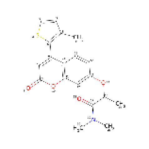 Cc1ccsc1-c1cc(=O)oc2cc(OC(C)C(=O)N(C)C)ccc12